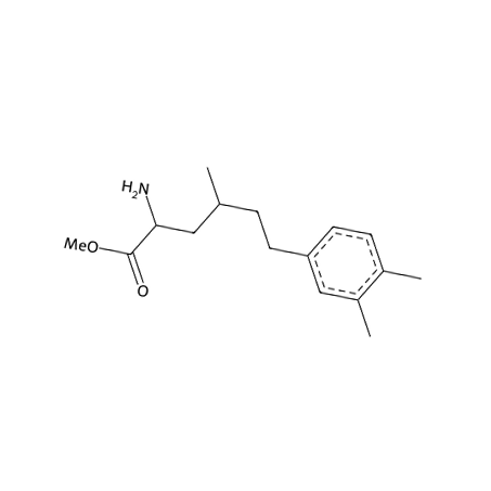 COC(=O)C(N)CC(C)CCc1ccc(C)c(C)c1